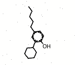 CCCCCc1ccc(O)c(C2CCCCC2)c1